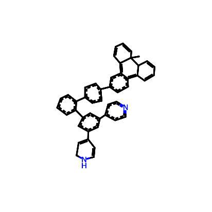 CC12C=CC=CC1=c1cc(-c3ccc(-c4ccccc4-c4cc(C5=CCNC=C5)cc(-c5ccncc5)c4)cc3)ccc1=C1C=CC=CC12